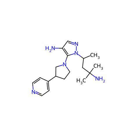 CC(CC(C)(C)N)n1ncc(N)c1N1CCC(c2ccncc2)C1